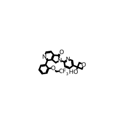 O=C1c2ccnc(-c3ccccc3OCC(F)(F)F)c2CN1c1ccc(C2(O)COC2)cn1